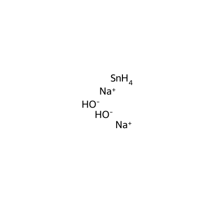 [Na+].[Na+].[OH-].[OH-].[SnH4]